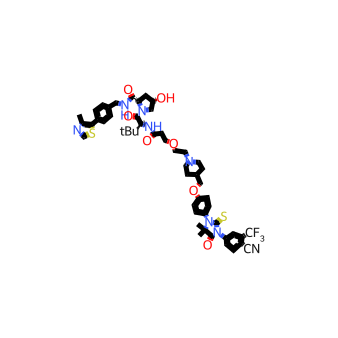 Cc1ncsc1-c1ccc(CNC(=O)[C@@H]2C[C@@H](O)CN2C(=O)[C@@H](NC(=O)CCOCCN2CCC(COc3ccc(N4C(=S)N(c5ccc(C#N)c(C(F)(F)F)c5)C(=O)C4(C)C)cc3)CC2)C(C)(C)C)cc1